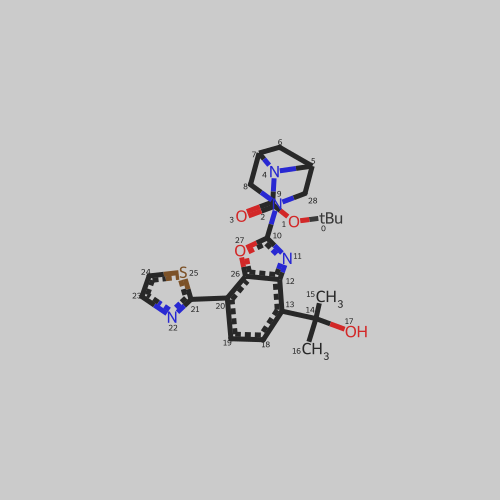 CC(C)(C)OC(=O)N1C2CC1CN(c1nc3c(C(C)(C)O)ccc(-c4nccs4)c3o1)C2